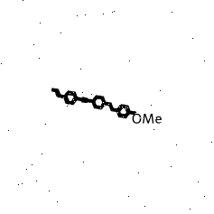 CC=Cc1ccc(C#CC2CCC(CCc3ccc(COC)cc3)CC2)cc1